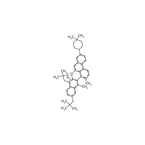 Cc1c2c(c(CC(C)(C)C)c3ccc(CC(C)(C)C)cc13)Oc1cc3cc(C4CCC(C)(C)CC4)ccc3c3cc[n+](C)c-2c13